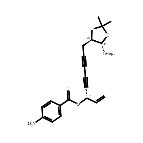 C=C[C@@H](C#CC#CC[C@H]1OC(C)(C)O[C@@H]1CCCCCCC)OC(=O)c1ccc([N+](=O)[O-])cc1